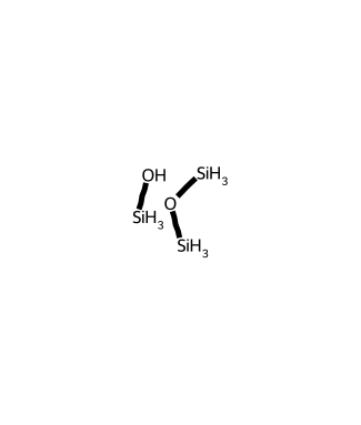 O[SiH3].[SiH3]O[SiH3]